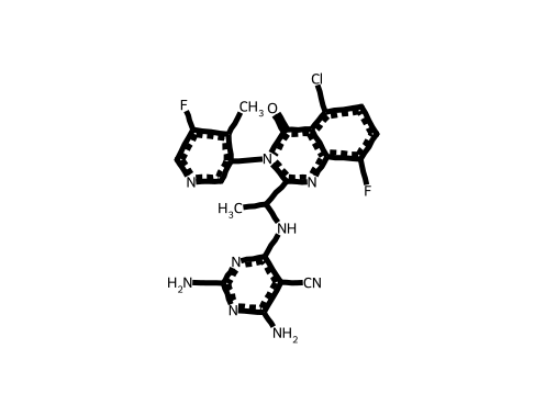 Cc1c(F)cncc1-n1c(C(C)Nc2nc(N)nc(N)c2C#N)nc2c(F)ccc(Cl)c2c1=O